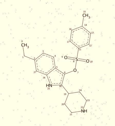 CCc1ccc2c(OS(=O)(=O)c3ccc(C)cc3)c(C3CCNCC3)[nH]c2c1